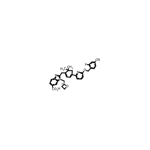 CC1(C)CC(c2cccc(OCc3ccc(C#N)cc3F)n2)=CC=C1Cc1nc2ccc(C(=O)O)cc2n1C[C@@H]1CCO1